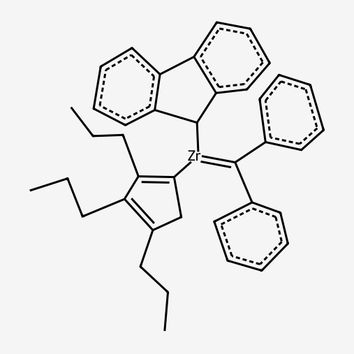 CCCC1=C(CCC)C(CCC)=[C]([Zr](=[C](c2ccccc2)c2ccccc2)[CH]2c3ccccc3-c3ccccc32)C1